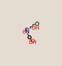 O=C(O)c1ccc(CCN2C(=O)CC[C@@H]2/C=C/[C@@H](O)CC2CCCCC2)cc1